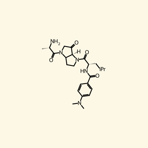 CC(C)C[C@H](NC(=O)c1ccc(N(C)C)cc1)C(=O)N1CCC2[C@H]1C(=O)CN2C(=O)[C@H](C)N